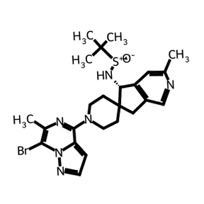 Cc1cc2c(cn1)CC1(CCN(c3nc(C)c(Br)n4nccc34)CC1)[C@@H]2N[S@+]([O-])C(C)(C)C